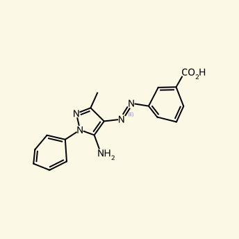 Cc1nn(-c2ccccc2)c(N)c1/N=N/c1cccc(C(=O)O)c1